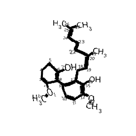 COC1=CC[CH]C(O)=C1c1ccc(OC)c(O)c1CC=C(C)CCC=C(C)C